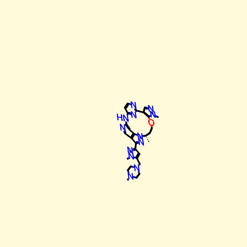 C[C@H]1CCOc2c(cnn2C)-c2nccc(n2)Nc2cc3c(cn2)c(-c2cc(CN4CCN(C)CC4)n(C)n2)nn31